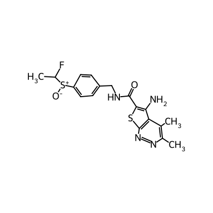 Cc1nnc2sc(C(=O)NCc3ccc([S+]([O-])C(C)F)cc3)c(N)c2c1C